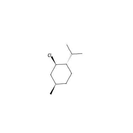 CC(C)[C@@H]1CC[C@@H](C)C[C@H]1Cl